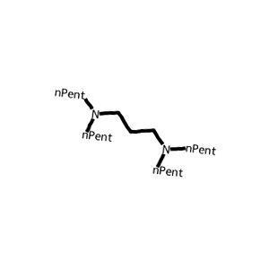 CCCCCN(CCCCC)CCCN(CCCCC)CCCCC